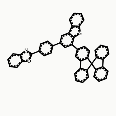 c1ccc2c(c1)-c1ccccc1C21c2ccccc2-c2cc(-c3cc(-c4ccc(-c5nc6ccccc6o5)cc4)cc4c3sc3ccccc34)ccc21